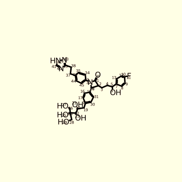 O=C1C(CCC(O)c2ccc(F)cc2)[C@@H](c2ccc(CC(O)C(O)C(O)(CO)CO)cc2)N1c1ccc(CCc2nc[nH]n2)cc1